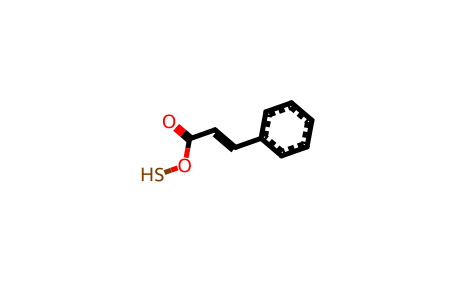 O=C(/C=C/c1ccccc1)OS